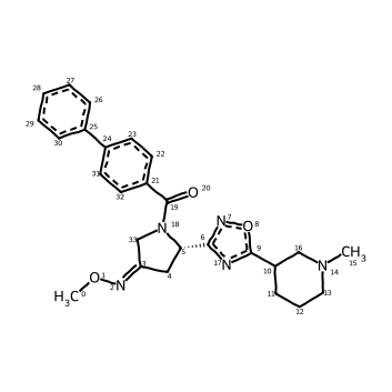 CO/N=C1/C[C@@H](c2noc(C3CCCN(C)C3)n2)N(C(=O)c2ccc(-c3ccccc3)cc2)C1